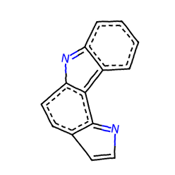 C1=Cc2ccc3c(c2=N1)=c1ccccc1=N3